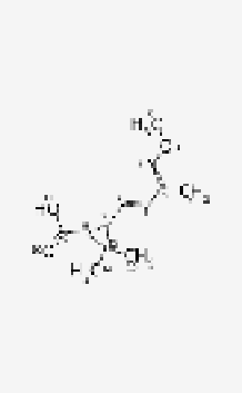 CON=C(C)C=CC1C(C(=O)O)C1(C)C